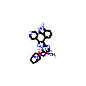 CN(C)CC(=O)N1C2CCC1CC(c1ccnc3c(-c4cccc5[nH]ncc45)c(-c4ccncc4)nn13)C2